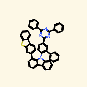 c1ccc(-c2nc(-c3ccccc3)nc(-c3ccc(-n4c5ccccc5c5cccc(-c6ccc7c(c6)sc6ccccc67)c54)c(-c4ccccc4)c3)n2)cc1